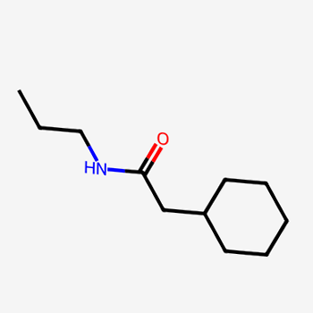 CCCNC(=O)CC1CCCCC1